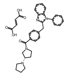 O=C(O)C=CC(=O)O.O=C(c1ccc(Cc2nc3ccccc3n2-c2ccccc2)cc1)N1CC[C@H](N2CCCC2)C1